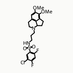 COc1cc2c3c(c1OC)CCC3N(CCCNS(=O)(=O)c1cc(Cl)c(F)cc1F)CC2